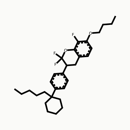 CCCCCC1(c2ccc(C3Cc4ccc(OCCCC)c(F)c4OC3(F)F)cc2)CCCCC1